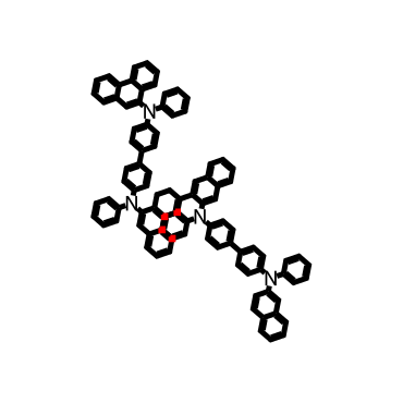 C1=C(c2cc3ccccc3cc2N(c2ccccc2)c2ccc(-c3ccc(N(c4ccccc4)c4ccc5ccccc5c4)cc3)cc2)CCc2c(N(c3ccccc3)c3ccc(-c4ccc(N(c5ccccc5)c5cc6ccccc6c6ccccc56)cc4)cc3)cc3ccccc3c21